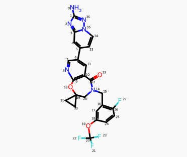 Nc1nc2cc(-c3cnc4c(c3)C(=O)N(Cc3cc(OC(F)(F)F)ccc3F)CC3(CC3)O4)ccn2n1